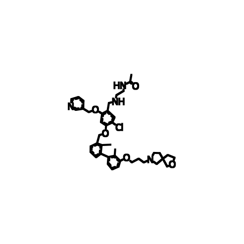 CC(=O)NCCNCc1cc(Cl)c(OCc2cccc(-c3cccc(OCCCN4CCC5(CCOC5)C4)c3C)c2C)cc1OCc1cccnc1